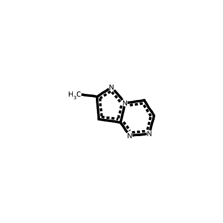 Cc1cc2nnccn2n1